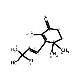 CCC(C)(O)/C=C/C1=C(C)C(=O)CCC1(C)C